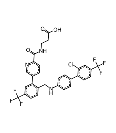 O=C(O)CCNC(=O)c1ccc(-c2cc(C(F)(F)F)ccc2CNc2ccc(-c3ccc(C(F)(F)F)cc3Cl)cc2)cn1